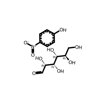 O=C[C@H](O)[C@@H](O)[C@H](O)[C@H](O)CO.O=[N+]([O-])c1ccc(O)cc1